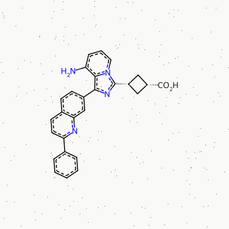 Nc1cccn2c1c(-c1ccc3ccc(-c4ccccc4)nc3c1)nc2[C@H]1C[C@@H](C(=O)O)C1